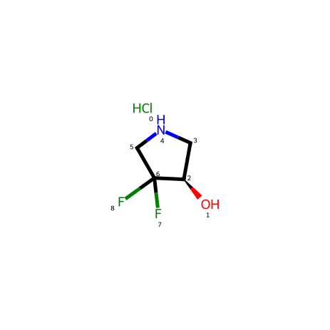 Cl.O[C@@H]1CNCC1(F)F